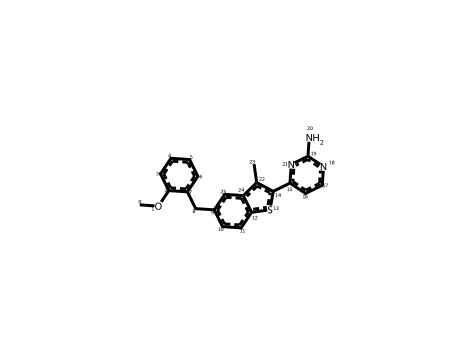 COc1ccccc1Cc1ccc2sc(-c3ccnc(N)n3)c(C)c2c1